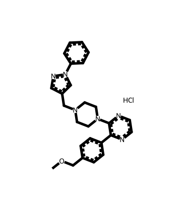 COCc1ccc(-c2nccnc2N2CCN(Cc3cnn(-c4ccccc4)c3)CC2)cc1.Cl